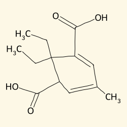 CCC1(CC)C(C(=O)O)=CC(C)=CC1C(=O)O